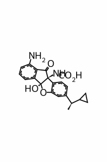 C[C@@H](c1ccc2c(c1)O[C@]1(O)c3cccc(N)c3C(=O)[C@]21NC(=O)O)C1CC1